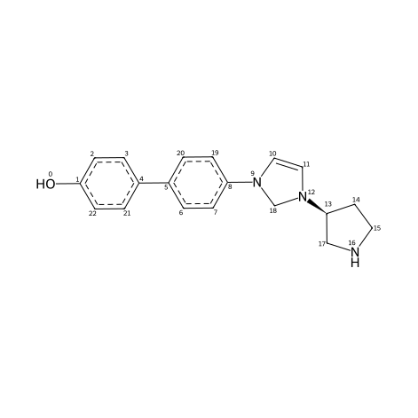 Oc1ccc(-c2ccc(N3C=CN([C@H]4CCNC4)C3)cc2)cc1